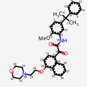 COc1ccc(C(C)(C)c2ccccc2)cc1NC(=O)C(=O)c1ccc(OCCN2CCOCC2)c2ccccc12